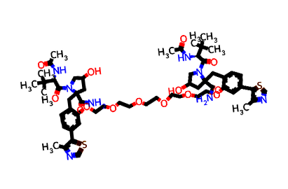 CC(=O)N[C@H](C(=O)N1CC(O)CC1(Cc1ccc(-c2scnc2C)cc1OCCOCCOCCOCCOCCOc1cc(-c2scnc2C)ccc1CC1(C(N)=O)CC(O)CN1C(=O)[C@@H](NC(C)=O)C(C)(C)C)C(N)=O)C(C)(C)C